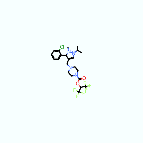 CC(C)N1C=C(CN2CCN(C(=O)OC(C(F)(F)F)C(F)(F)F)CC2)C(c2ccccc2Cl)N1C